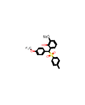 COc1cccc(C(c2ccc(OC(F)(F)F)cc2)S(=O)(=O)c2ccc(C)cc2)c1O